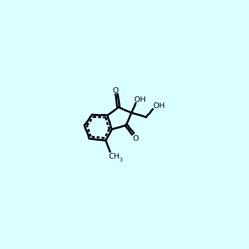 Cc1cccc2c1C(=O)C(O)(CO)C2=O